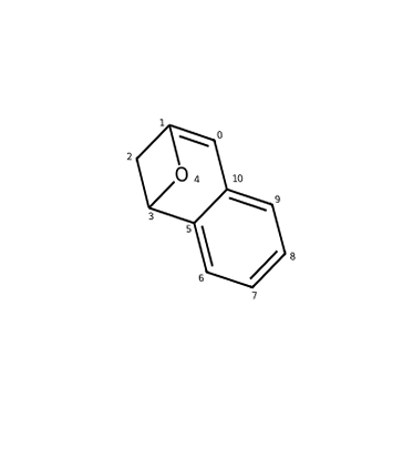 C1=C2CC(O2)c2ccccc21